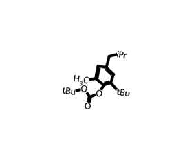 Cc1cc(CC(C)C)cc(C(C)(C)C)c1OC(=O)OC(C)(C)C